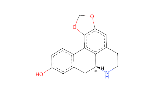 Oc1ccc2c(c1)C[C@H]1NCCc3cc4c(c-2c31)OCO4